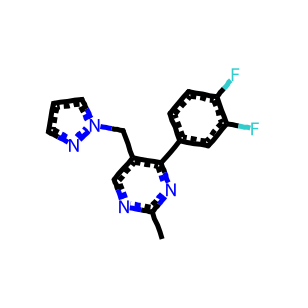 Cc1ncc(Cn2cccn2)c(-c2ccc(F)c(F)c2)n1